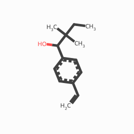 C=Cc1ccc(C(O)C(C)(C)CC)cc1